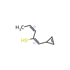 C/C=C\C(S)=C/C1C=C1